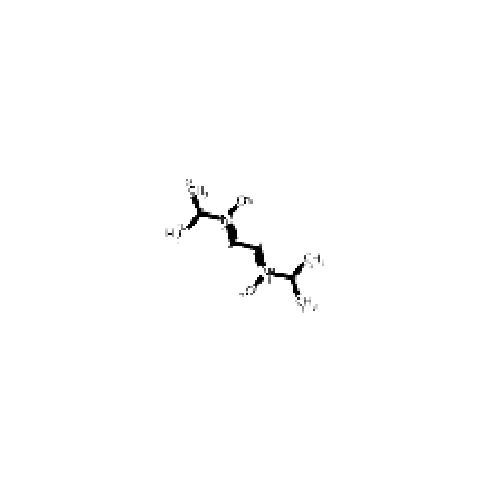 CC(C)[N+]([O-])=CC=[N+]([O-])C(C)C